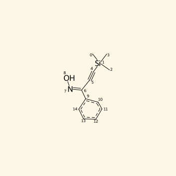 C[Si](C)(C)C#CC(=NO)c1ccccc1